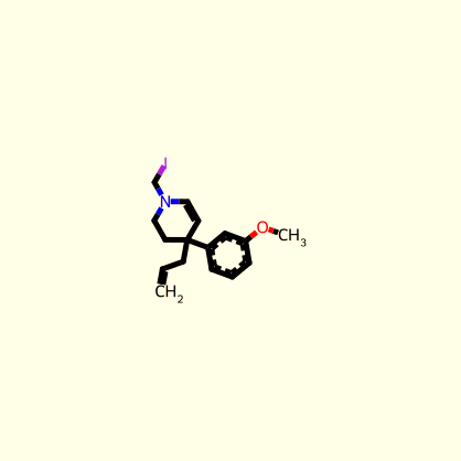 C=CCC1(c2cccc(OC)c2)C=CN(CI)CC1